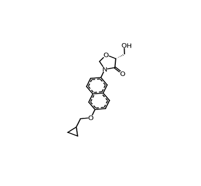 O=C1[C@@H](CO)OCN1c1ccc2cc(OCC3CC3)ccc2c1